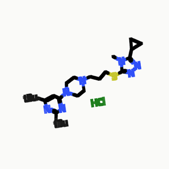 Cl.Cn1c(SCCCN2CCN(c3cc(C(C)(C)C)nc(C(C)(C)C)n3)CC2)nnc1C1CC1